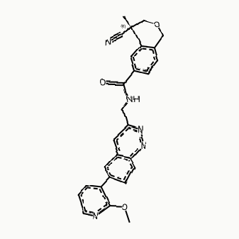 COc1ncccc1-c1ccc2nnc(CNC(=O)c3ccc4c(c3)[C@](C)(C#N)COC4)cc2c1